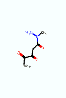 CNC(=O)C(=O)CC(=O)N(C)N